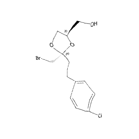 OC[C@@H]1CO[C@](CBr)(CCc2ccc(Cl)cc2)O1